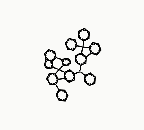 c1ccc(-c2cccc3c2-c2ccc(N(c4ccccc4)c4ccc5c(c4)-c4ccccc4C5(c4ccccc4)c4ccccc4)cc2C32c3ccccc3-c3cccc4cccc2c34)cc1